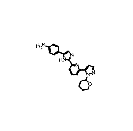 Nc1ccc(-c2cnc(-c3cccc(-c4ccnn4C4CCCCO4)n3)[nH]2)cc1